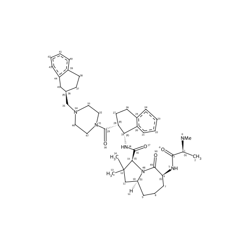 CN[C@@H](C)C(=O)N[C@H]1CCC[C@H]2CC(C)(C)[C@@H](C(=O)N[C@H]3c4ccccc4CC[C@H]3C(=O)N3CCN(C[C@@H]4CCc5ccccc5C4)CC3)N2C1=O